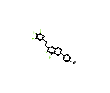 CCCc1ccc(-c2ccc3cc(CCc4cc(F)c(F)c(F)c4)c(F)c(F)c3c2)cc1